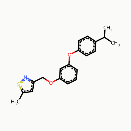 Cc1cc(COc2cccc(Oc3ccc(C(C)C)cc3)c2)ns1